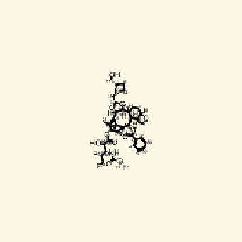 CC(=O)O[C@@]12CO[C@@H]1CC[C@@]1(C)[C@@H]3O[C@H](CN4CC[C@H]4CO)O[C@@H]3C3=C(C)[C@@H](OC(=O)[C@H](O)[C@@H](NC(=O)OC(C)C)[C@@H](F)CF)C[C@@](O)([C@@H](OC(=O)c4ccccc4)[C@@H]12)C3(C)C